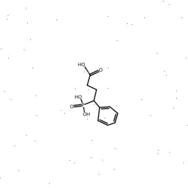 O=C(O)CCC(c1ccccc1)P(=O)(O)O